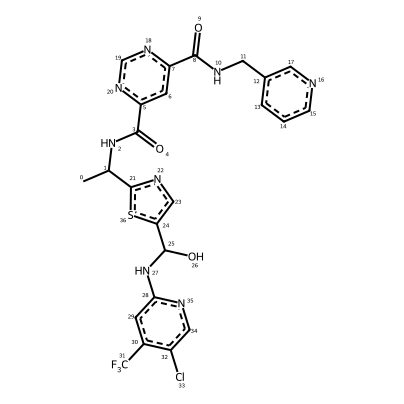 CC(NC(=O)c1cc(C(=O)NCc2cccnc2)ncn1)c1ncc(C(O)Nc2cc(C(F)(F)F)c(Cl)cn2)s1